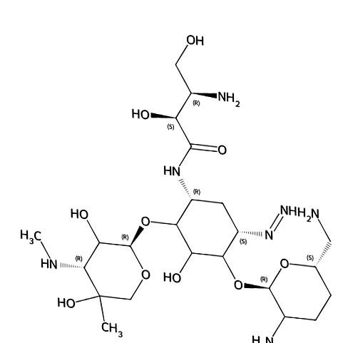 CN[C@@H]1C(O)[C@@H](OC2C(O)C(O[C@H]3O[C@H](CN)CCC3N)[C@@H](N=N)C[C@H]2NC(=O)[C@@H](O)[C@H](N)CO)OCC1(C)O